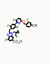 N#Cc1ccc(COc2ccc(F)c(-c3cc(F)c(Cc4nc5c(F)cc(C(=O)O)cc5n4CC4(CF)CC4)cc3F)n2)c(F)c1